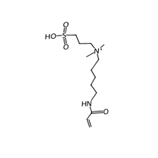 C=CC(=O)NCCCCC[N+](C)(C)CCCS(=O)(=O)O